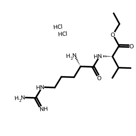 CCOC(=O)[C@@H](NC(=O)[C@@H](N)CCCNC(=N)N)C(C)C.Cl.Cl